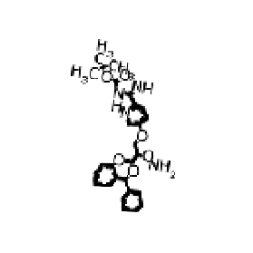 CC(C)(C)OC(=O)NC(=N)c1ccc(OCC(ON)C(=O)OC(c2ccccc2)c2ccccc2)cn1